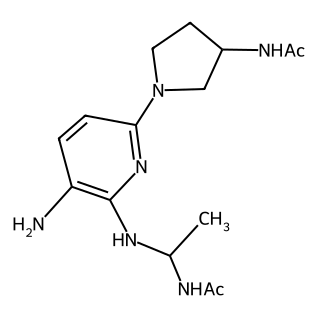 CC(=O)NC1CCN(c2ccc(N)c(NC(C)NC(C)=O)n2)C1